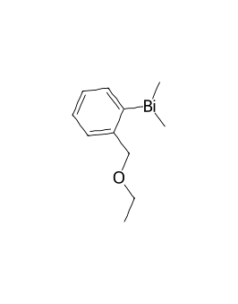 CCOCc1cccc[c]1[Bi]([CH3])[CH3]